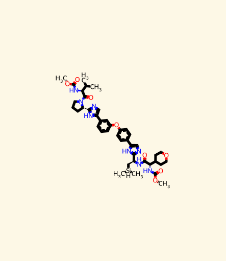 COC(=O)N[C@H](C(=O)N1CCC[C@H]1c1ncc(-c2cccc(Oc3ccc(-c4cnc([C@H](C[SiH](C)C)NC(=O)[C@@H](NC(=O)OC)C5CCOCC5)[nH]4)cc3)c2)[nH]1)C(C)C